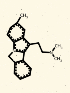 Cc1ccc2c(c1)c(CCN(C)C)c1n2Cc2ccccc2-1